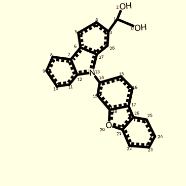 OC(O)c1ccc2c3ccccc3n(-c3ccc4c(c3)oc3ccccc34)c2c1